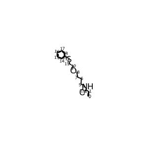 C=CC(=O)NCCCCOCCSc1ccccc1